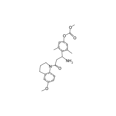 COC(=O)Oc1cc(C)c(C(N)CC(=O)N2CCCc3cc(OC)ccc32)c(C)c1